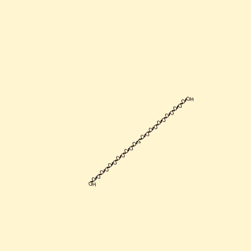 OCCOCCOCCOCCOCCOCCOCCOCCOCCOCCOCCOCCSCCOCCOCCOCCOCCOCCOCCOCCOCCOCCOCCOCCO